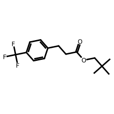 CC(C)(C)COC(=O)CCc1ccc(C(F)(F)F)cc1